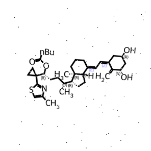 C=C1/C(=C\C=C2/CCC[C@]3(C)[C@@H]([C@H](C)CC[C@@H](OC(=O)CCCC)C4(c5nc(C)cs5)CC4)CC[C@@H]23)C[C@@H](O)C[C@@H]1O